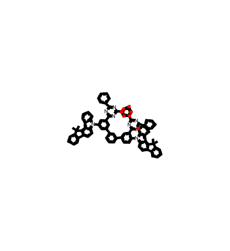 CC1(C)c2ccccc2-c2ccc3c(c21)c1ccccc1n3-c1cc(-c2cccc(-c3ccc(-n4c5ccccc5c5c6c(ccc54)-c4ccccc4C6(C)C)c(-c4nc(-c5ccccc5)nc(-c5ccccc5)n4)c3)c2)cc(-c2nc(-c3ccccc3)nc(-c3ccccc3)n2)c1